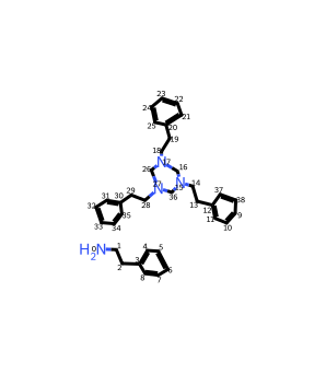 NCCc1ccccc1.c1ccc(CCN2CN(CCc3ccccc3)CN(CCc3ccccc3)C2)cc1